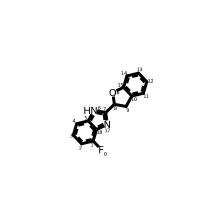 Fc1cccc2[nH]c(C3Cc4ccccc4O3)nc12